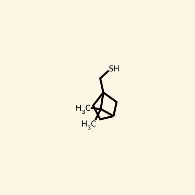 CC1(C)C2CCC1(CS)C2